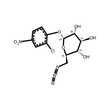 [N-]=[N+]=NC[C@H]1O[C@H](Oc2ccc([N+](=O)[O-])cc2Cl)[C@H](O)[C@@H](O)[C@@H]1O